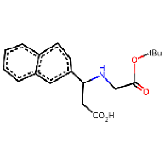 CC(C)(C)OC(=O)CNC(CC(=O)O)c1ccc2ccccc2c1